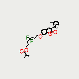 C=C(C)C(=O)OCCCC(F)(F)CCCOc1ccc2cc(-c3ccccc3C)c(=O)oc2c1